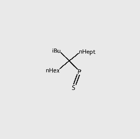 CCCCCCCC(CCCCCC)(P=S)C(C)CC